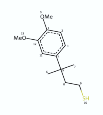 COc1ccc(C(C)(C)CCS)cc1OC